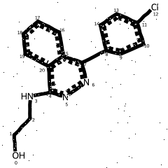 OCCNc1nnc(-c2ccc(Cl)cc2)c2ccccc12